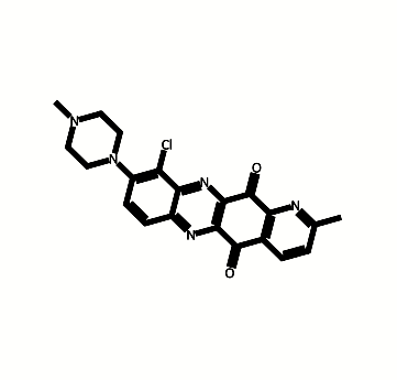 Cc1ccc2c(n1)C(=O)c1nc3c(Cl)c(N4CCN(C)CC4)ccc3nc1C2=O